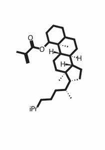 C=C(C)C(=O)OC1CCCC2CC[C@@H]3[C@H](CC[C@]4(C)[C@@H]([C@H](C)CCCC(C)C)CC[C@@H]34)[C@]21C